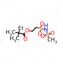 CCC(C)(C)C(=O)OCCS(=O)(=O)NS(C)(=O)=O